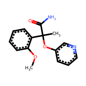 COc1ccccc1C(C)(Oc1cccnc1)C(N)=O